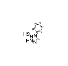 SN1NN=CN1c1ccccc1